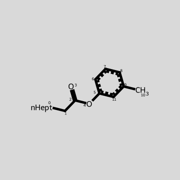 CCCCCCCCC(=O)Oc1cccc(C)c1